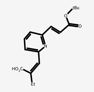 CCC(=Cc1cccc(C=CC(=O)OC(C)(C)C)n1)C(=O)O